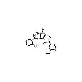 C=Cc1cc(N2CCc3[nH]c4nnc(-c5ccccc5O)cc4c3[C@@H]2C)ccn1